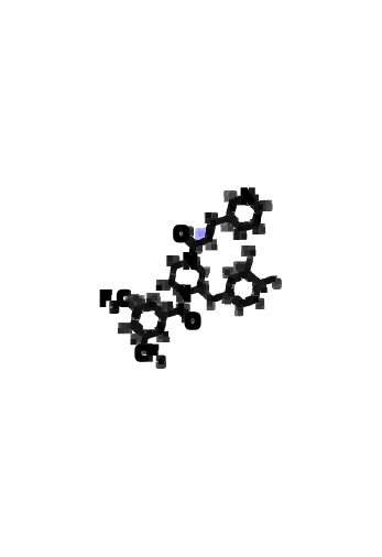 Cc1ccc(CC2CN(C(=O)/C=C/c3cccnc3)CCN2C(=O)c2cc(C(F)(F)F)cc(C(F)(F)F)c2)cc1C